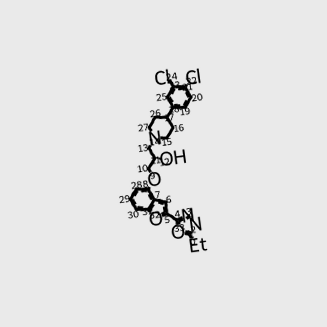 CCc1nnc(-c2cc3c(OC[C@@H](O)CN4CCC(c5ccc(Cl)c(Cl)c5)CC4)cccc3o2)o1